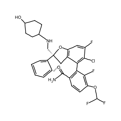 C[C@H]1c2c(cc(F)c(Cl)c2-c2c(C(N)=O)ccc(OC(F)F)c2F)O[C@]1(CNC1CCC(O)CC1)c1ccccc1